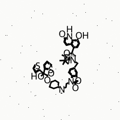 CN(CCn1c(=O)oc2cc(CNC[C@@H](O[Si](C)(C)C(C)(C)C)c3ccc(O)c4[nH]c(=O)ccc34)ccc21)C1CCC(OC(=O)C(O)(c2cccs2)c2cccs2)CC1